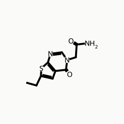 CCc1cc2c(=O)n(CC(N)=O)cnc2s1